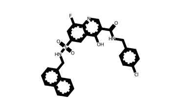 O=C(NCc1ccc(Cl)cc1)c1cnc2c(F)cc(S(=O)(=O)NCc3cccc4ccccc34)cc2c1O